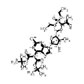 CCOP(=O)(OCC)[C@H](OC[C@H]1O[C@@H](n2cnc3c(N(C(=O)OC(C)(C)C)C(=O)OC(C)(C)C)nc(Cl)nc32)[C@@H](F)[C@@H]1C)C(C)=O